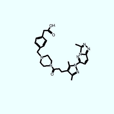 Cc1nn(-c2ccc3nnc(C)n3n2)c(C)c1CCC(=O)N1CCN(Cc2ccc(CC(=O)O)cc2)CC1